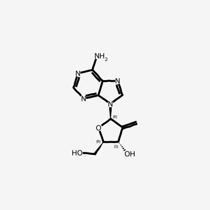 C=C1[C@H](n2cnc3c(N)ncnc32)O[C@H](CO)[C@H]1O